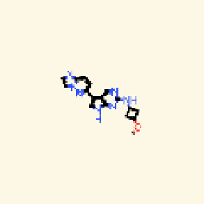 COC1CC(Nc2ncc3c(-c4ccc5nccn5n4)c[nH]c3n2)C1